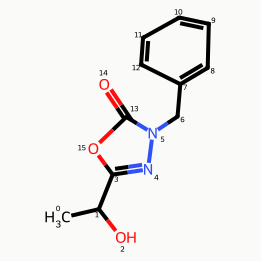 CC(O)c1nn(Cc2ccccc2)c(=O)o1